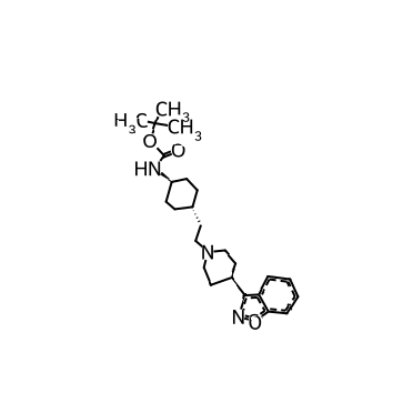 CC(C)(C)OC(=O)N[C@H]1CC[C@H](CCN2CCC(c3noc4ccccc34)CC2)CC1